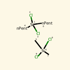 CCCCC[Si](Cl)(Cl)CCCCC.C[Si](C)(Cl)Cl